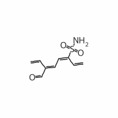 C=C/C(C=O)=C\C=C(/C=C)S(N)(=O)=O